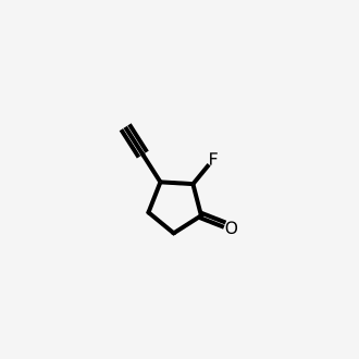 C#CC1CCC(=O)C1F